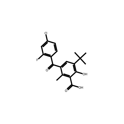 Cc1c(C(=O)c2ccc(Cl)cc2F)cc(C(C)(C)C)c(O)c1C(=O)O